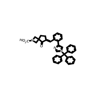 O=C(O)N1CC2(CC/C(=C\c3ccccc3-c3cn(C(c4ccccc4)(c4ccccc4)c4ccccc4)cn3)C2=O)C1